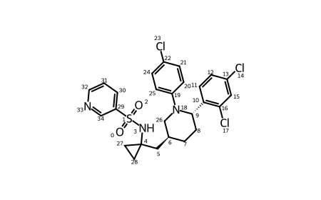 O=S(=O)(NC1(C[C@@H]2CC[C@@H](c3ccc(Cl)cc3Cl)N(c3ccc(Cl)cc3)C2)CC1)c1cccnc1